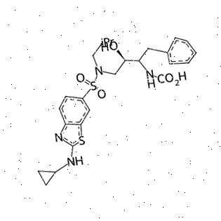 CC(C)CN(C[C@@H](O)C(Cc1ccccc1)NC(=O)O)S(=O)(=O)c1ccc2nc(NC3CC3)sc2c1